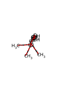 CCCCCCCCCCCCCCCCCCOc1cc(COC(=O)CCC(=O)O[C@@H]2[C@@H](OC)[C@H](n3ccc(=O)[nH]c3=O)O[C@@H]2CO)cc(OCCCCCCCCCCCCCCCCCC)c1OCCCCCCCCCCCCCCCCCC